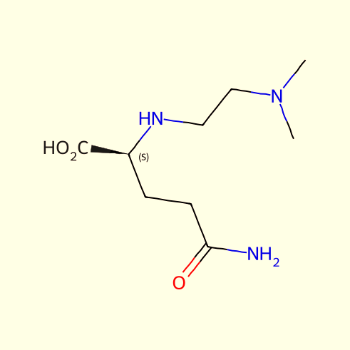 CN(C)CCN[C@@H](CCC(N)=O)C(=O)O